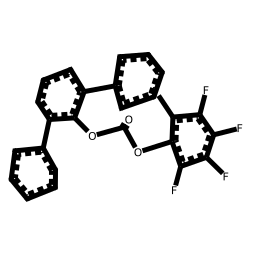 O=C(Oc1c(-c2ccccc2)cccc1-c1ccccc1)Oc1c(F)c(F)c(F)c(F)c1F